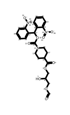 O=COCC(O)COC(=O)C1CCN(C(=O)OC(c2ccccc2[N+](=O)[O-])c2ccccc2[N+](=O)[O-])CC1